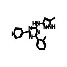 Cc1cc(Nc2nc(-c3ccncc3)nc(-c3ccccc3C)n2)n[nH]1